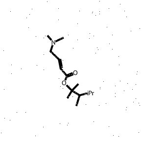 CC(C)C(C)C(C)(C)OC(=O)/C=C/CN(C)C